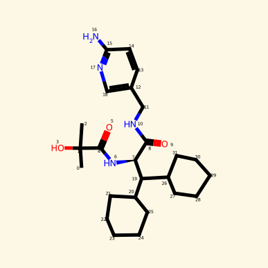 CC(C)(O)C(=O)N[C@@H](C(=O)NCc1ccc(N)nc1)C(C1CCCCC1)C1CCCCC1